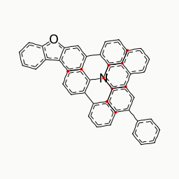 c1ccc(-c2ccc(N(c3ccccc3-c3ccc4c(c3)oc3ccccc34)c3ccccc3-c3ccccc3-c3ccc4ccccc4c3)cc2)cc1